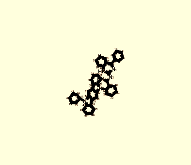 N=C(/N=c1/nc(-c2ccccc2)c2ccccc2[nH]1)c1ccccc1-n1c2ccccc2c2cc3c(cc21)c1ccccc1n3-c1ccccc1